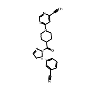 C#Cc1cc(N2CCC(C(=O)N3N=CC[C@H]3c3cccc(C#N)c3)CC2)ncn1